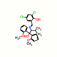 COc1ccccc1C(O)(c1ccccc1OC)C(N=Cc1cc(Cl)cc(Cl)c1O)C(C)C